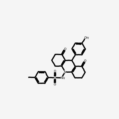 Cc1ccc(S(=O)(=O)NN2C3=C(C(=O)CCC3)C(c3ccc(O)cc3)C3=C2CCCC3=O)cc1